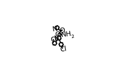 Nc1c(C(=O)c2cccnc2)oc2nc(-c3ccccc3Cl)c(-c3ccc(Cl)cc3)cc12